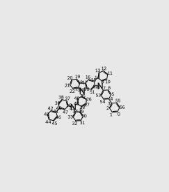 c1ccc(-c2ccc(-n3c4ccccc4c4cc5c6ccccc6n(-c6ccc7c8ccccc8n(-c8cccc(-c9ccccc9)c8)c7c6)c5cc43)cc2)cc1